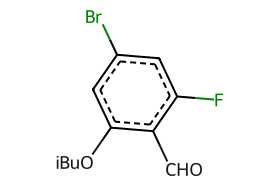 CC(C)COc1cc(Br)cc(F)c1C=O